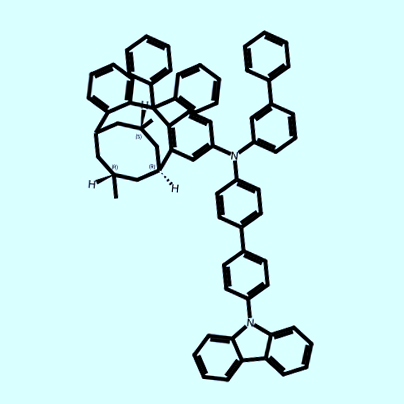 C[C@@H]1CC2C[C@H](C)C[C@H](C1)c1cc(N(c3ccc(-c4ccc(-n5c6ccccc6c6ccccc65)cc4)cc3)c3cccc(-c4ccccc4)c3)ccc1C(c1ccccc1)(c1ccccc1)c1ccccc12